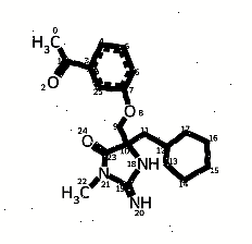 CC(=O)c1cccc(OCC2(CC3CCCCC3)NC(=N)N(C)C2=O)c1